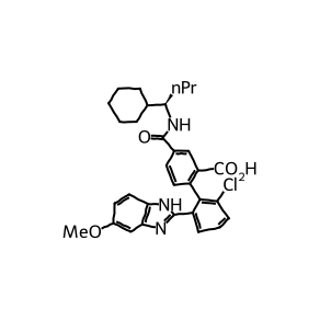 CCC[C@@H](NC(=O)c1ccc(-c2c(Cl)cccc2-c2nc3cc(OC)ccc3[nH]2)c(C(=O)O)c1)C1CCCCC1